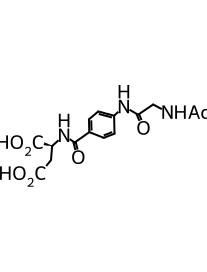 CC(=O)NCC(=O)Nc1ccc(C(=O)N[C@@H](CC(=O)O)C(=O)O)cc1